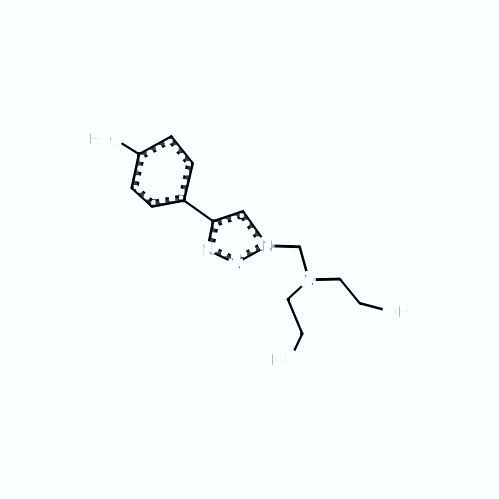 Cc1ccc(-c2cn(CN(CCO)CCO)nn2)cc1